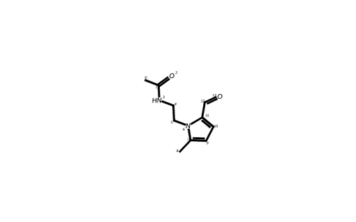 CC(=O)NCCn1c(C)ccc1C=O